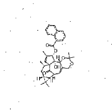 CC1=C[C@]23C(=O)[C@@H](C=C4COC(C)(C)O[C@H]4[C@]2(O)[C@H]1OC(=O)c1cccc2ccccc12)[C@H]1[C@@H](C[C@H]3C)C1(C)C